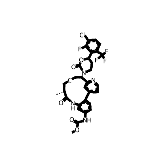 COC(=O)Nc1ccc2c(c1)NC(=O)[C@H](C)CCC[C@H](N1CCC(c3c(C(F)(F)F)ccc(Cl)c3F)OC1=O)c1cc-2ccn1